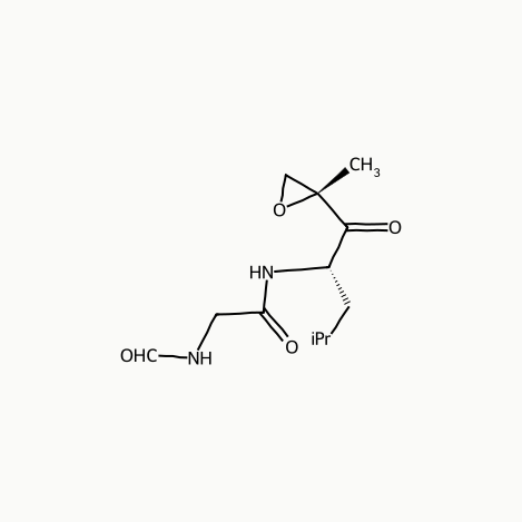 CC(C)C[C@H](NC(=O)CNC=O)C(=O)[C@@]1(C)CO1